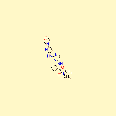 CN(C)C(=O)C(=O)c1ccccc1Nc1ccnc(Nc2ccc(N3CCOCC3)nc2)n1